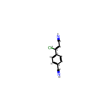 N#CC=C(Cl)c1ccc(C#N)cc1